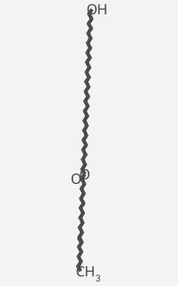 CCCCCCC=CCCCCCCCCCCCC(=O)OCCCCCCCCCCCCCCCCCCCCCCCCCCCCCCCCCO